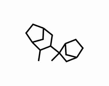 CC1C2CCC(C2)CC1C1(C)CC2CCC1C2